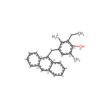 CCc1c(C)c(Cc2c3ccccc3cc3ccccc23)cc(C)c1O